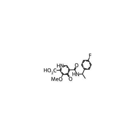 COc1c(C(=O)O)[nH]cc(C(=O)NC(C)c2ccc(F)cc2)c1=O